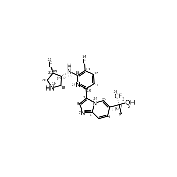 C[C@](O)(c1ccc2ncc(-c3ccc(F)c(N[C@@H]4CNC[C@H]4F)n3)n2c1)C(F)(F)F